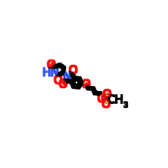 CS(=O)(=O)OCCCCOc1ccc2c(c1)C(=O)N(C1CCC(=O)NC1=O)C2=O